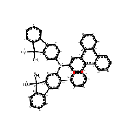 CC1(C)c2ccccc2-c2ccc(N(c3ccc4c5ccccc5c5ccccc5c4c3)c3cc4c(cc3-c3ccccc3)-c3ccccc3C4(C)C)cc21